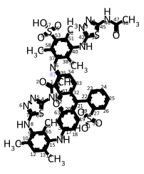 CC(=O)Nc1nnc(Nc2c(C)cc(C)c(Nc3ccc4c(-c5ccccc5S(=O)(=O)O)c5cc/c(=N\c6c(C)c(Nc7nnc(NC(C)=O)s7)c(C)c(S(=O)(=O)O)c6C)cc-5oc4c3)c2C)s1